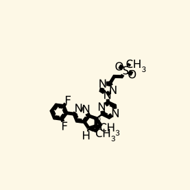 CC1(C)[C@H]2CC[C@@]1(c1cncc(-n3cnc(CCS(C)(=O)=O)n3)n1)c1nnc(-c3c(F)cccc3F)cc12